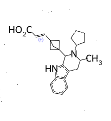 CC1Cc2c([nH]c3ccccc23)C(C23CC(/C=C/C(=O)O)(C2)C3)N1C1CCCC1